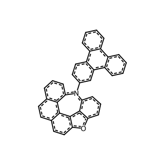 c1ccc2c(c1)c1ccccc1c1cc(-n3c4cccc5ccc6ccc7oc8cccc3c8c7c6c54)ccc21